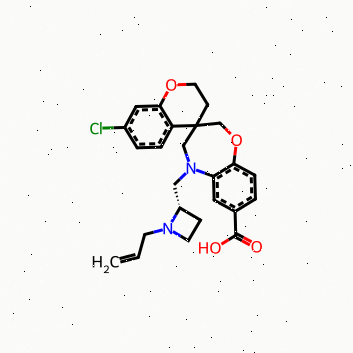 C=CCN1CC[C@H]1CN1CC2(CCOc3cc(Cl)ccc32)COc2ccc(C(=O)O)cc21